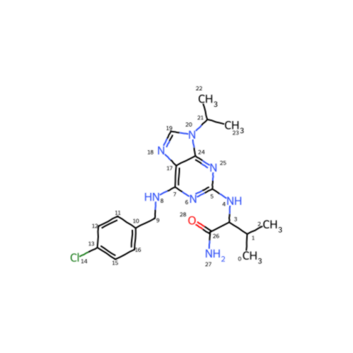 CC(C)C(Nc1nc(NCc2ccc(Cl)cc2)c2ncn(C(C)C)c2n1)C(N)=O